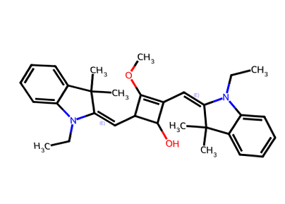 CCN1/C(=C/C2=C(OC)C(/C=C3/N(CC)c4ccccc4C3(C)C)C2O)C(C)(C)c2ccccc21